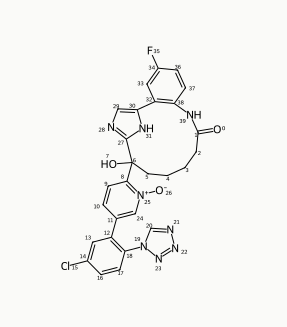 O=C1CCCCC(O)(c2ccc(-c3cc(Cl)ccc3-n3cnnn3)c[n+]2[O-])c2ncc([nH]2)-c2cc(F)ccc2N1